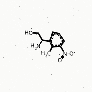 Cc1c([C@@H](N)CO)cccc1[N+](=O)[O-]